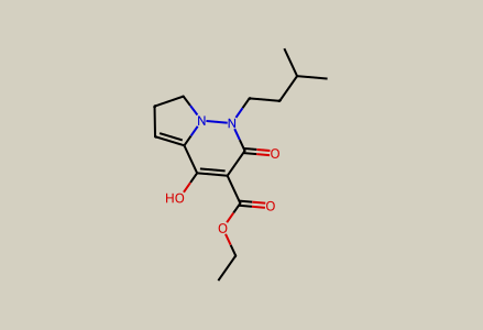 CCOC(=O)C1=C(O)C2=CCCN2N(CCC(C)C)C1=O